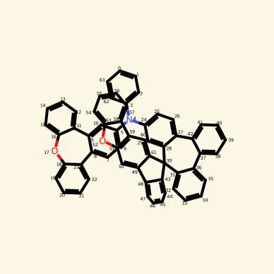 c1ccc(N(c2ccc3c(c2)-c2ccccc2Oc2ccccc2-3)c2ccc3c(c2)C2(c4ccccc4-c4ccccc4-3)c3ccccc3-c3cc4oc5ccccc5c4cc32)cc1